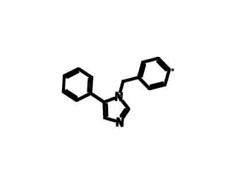 [c]1ccc(Cn2cncc2-c2ccccc2)cc1